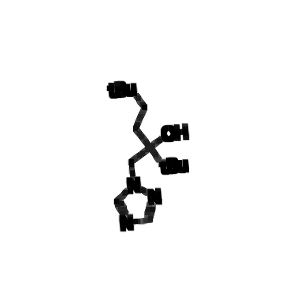 CC(C)(C)CCC(O)(Cn1cncn1)C(C)(C)C